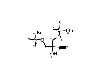 C#CC(O)(CO[Si](C)(C)C(C)(C)C)CO[Si](C)(C)C(C)(C)C